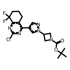 CC(C)(C)OC(=O)N1CC(n2cc(-c3nc(Cl)nc4c3CCCC4(F)F)cn2)C1